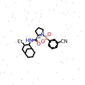 CCC1CC2CCCC(C2)C1NC(=O)[C@H]1CCCN1S(=O)(=O)c1cccc(C#N)c1